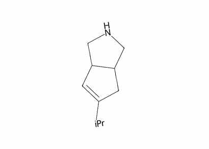 CC(C)C1=CC2CNCC2C1